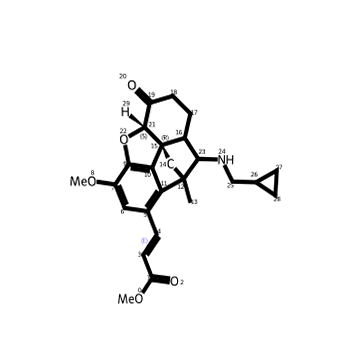 COC(=O)/C=C/c1cc(OC)c2c3c1C1(C)C[C@@]34C(CCC(=O)[C@H]4O2)C1NCC1CC1